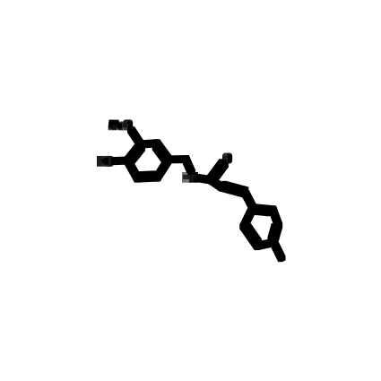 COc1cc(CNC(=O)C=Cc2ccc(C)cc2)ccc1O